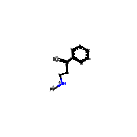 C=C(CCNC(C)C)c1ccccc1